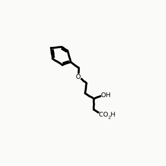 O=C(O)CC(O)CCOCc1ccccc1